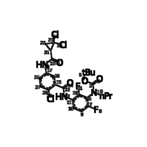 CCCN(C(=O)OC(C)(C)C)c1c(F)ccc(NC(=O)c2cc(NC(=O)C3CC3(Cl)Cl)ccc2Cl)c1F